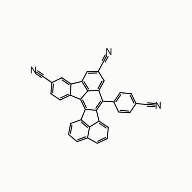 N#Cc1ccc(-c2c3cc(C#N)cc4c5cc(C#N)ccc5c(c34)c3c4cccc5cccc(c23)c54)cc1